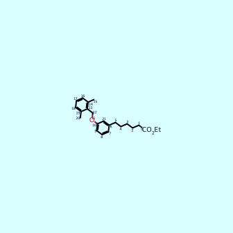 CCOC(=O)CCCCCc1cccc(OCc2c(C)cccc2C)c1